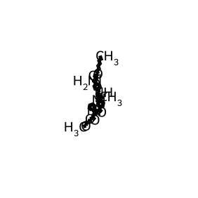 CCCCCCCOC(=O)/N=C(\N)c1ccc(NCc2nc3cc(C(=O)N(CCC(=O)OCCOC)c4ccccn4)ccc3n2C)cc1